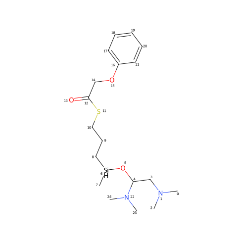 CN(C)CC(O[SiH](C)CCCSC(=O)COc1ccccc1)N(C)C